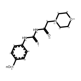 CCCCCCCCc1ccc(NC(=S)NC(=O)CN2CCOCC2)cc1